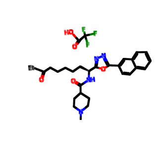 CCC(=O)CCCCC[C@H](NC(=O)C1CCN(C)CC1)c1nnc(-c2ccc3ccccc3c2)o1.O=C(O)C(F)(F)F